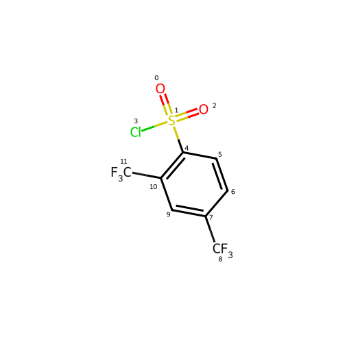 O=S(=O)(Cl)c1ccc(C(F)(F)F)cc1C(F)(F)F